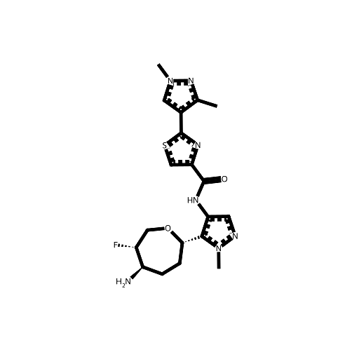 Cc1nn(C)cc1-c1nc(C(=O)Nc2cnn(C)c2[C@@H]2CC[C@@H](N)[C@H](F)CO2)cs1